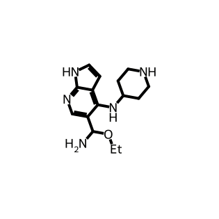 CCOC(N)c1cnc2[nH]ccc2c1NC1CCNCC1